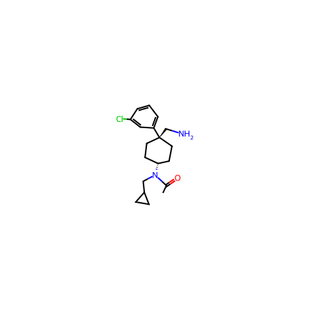 CC(=O)N(CC1CC1)[C@H]1CC[C@@](CN)(c2cccc(Cl)c2)CC1